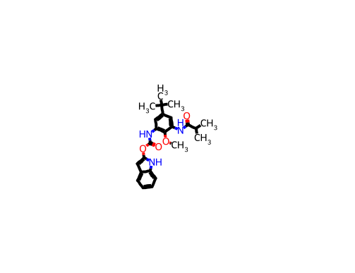 COc1c(NC(=O)Oc2cc3ccccc3[nH]2)cc(C(C)(C)C)cc1NC(=O)C(C)C